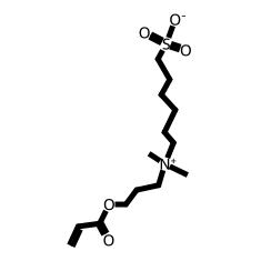 C=CC(=O)OCCC[N+](C)(C)CCCCCCS(=O)(=O)[O-]